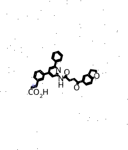 O=C(O)/C=C/c1cccc(-c2cc(NC(=O)CCC(=O)c3ccc4c(c3)CCO4)nc(-c3ccccc3)c2)c1